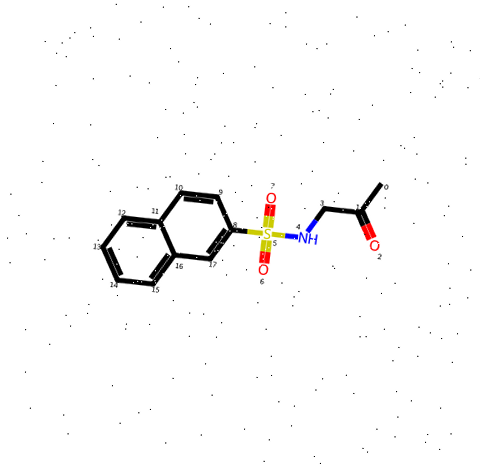 CC(=O)CNS(=O)(=O)c1ccc2ccccc2c1